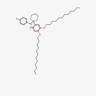 CCCCCCCCCCCCOc1ccc(C2([C@H](O)c3ccc(I)cc3)SCCCS2)cc1OCCCCCCCCCCCC